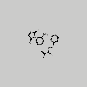 C=C(C)C(=O)OCc1ccccc1.Nc1ccccc1.O=C1C=CC(=O)O1